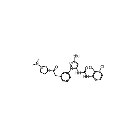 CN(C)[C@@H]1CCN(C(=O)Cc2cccc(-n3nc(C(C)(C)C)cc3NC(=O)Nc3cccc(Cl)c3Cl)c2)C1